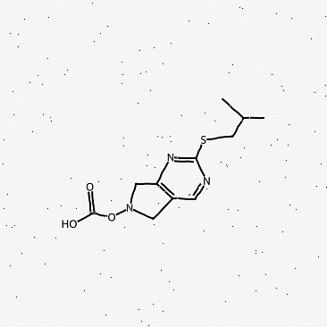 CC(C)CSc1ncc2c(n1)CN(OC(=O)O)C2